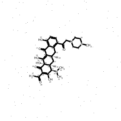 CN1CCN(CC(=O)c2ccc(O)c3c2C[C@H]2C[C@H]4[C@@H](N(C)C)C(O)=C(C(N)=O)C(=O)[C@@]4(O)C(O)=C2C3=O)CC1